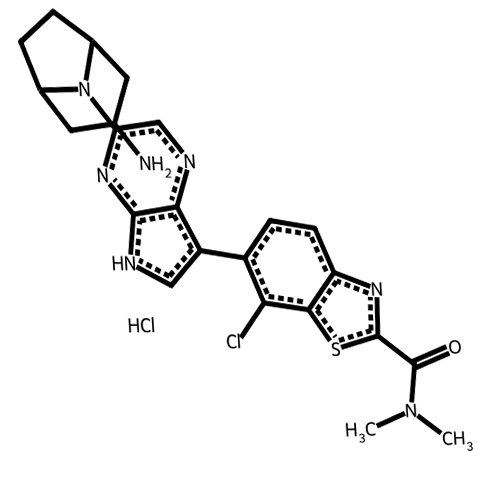 CN(C)C(=O)c1nc2ccc(-c3c[nH]c4nc(N5C6CCC5CC(N)C6)cnc34)c(Cl)c2s1.Cl